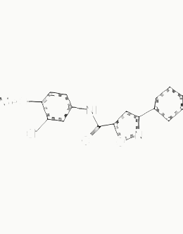 COc1ccc(NC(=O)c2cc(-c3ccccc3)no2)cc1Cl